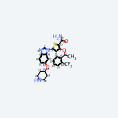 CC(Oc1cc(-n2cnc3ccc(OC4CCNCC4)cc32)sc1C(N)=O)c1ccccc1C(F)(F)F